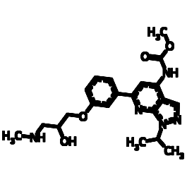 CNCC(O)COc1cccc(-c2cc(NC(=O)OC)c3cnn(C(C)C)c3n2)c1